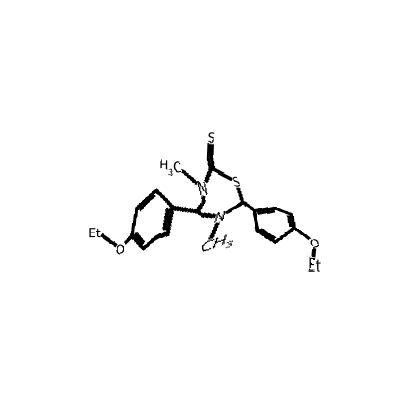 CCOc1ccc(C2SC(=S)N(C)C(c3ccc(OCC)cc3)N2C)cc1